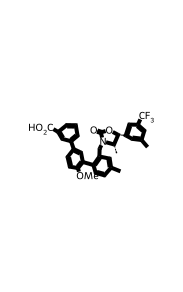 COc1ccc(-c2cccc(C(=O)O)c2)cc1-c1ccc(C)cc1CN1C(=O)O[C@H](c2cc(C)cc(C(F)(F)F)c2)[C@@H]1C